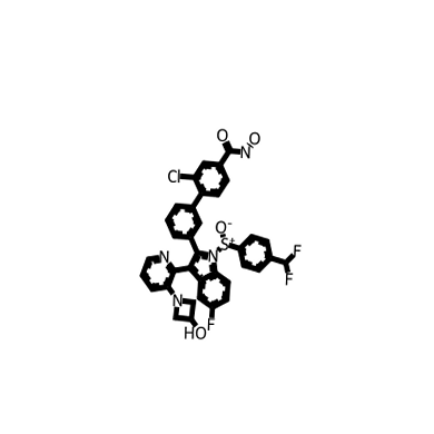 O=NC(=O)c1ccc(-c2cccc(-c3c(-c4ncccc4N4CC(O)C4)c4cc(F)ccc4n3[S+]([O-])c3ccc(C(F)F)cc3)c2)c(Cl)c1